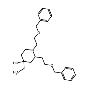 NCC1(O)CCN(CCOCc2ccccc2)C(CCOCc2ccccc2)C1